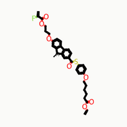 C=COC(=O)CCCCCOc1ccc(SC(=O)c2ccc3c(c2)[C@@H](C)c2cc(OCCCOC(=O)C(=C)F)ccc2-3)cc1